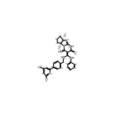 N=c1/c(=C(\NCc2ccc(-c3cc(Cl)cc(Cl)n3)cc2)Nc2ccccc2)c(=O)[nH]c2n1[C@H]1CCC[C@H]1N=2